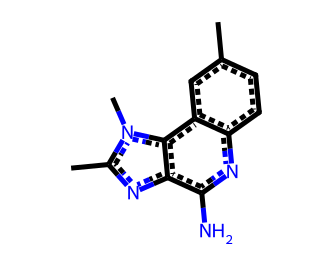 Cc1ccc2nc(N)c3nc(C)n(C)c3c2c1